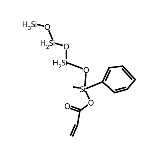 C=CC(=O)O[Si](C)(O[SiH2]O[SiH2]O[SiH3])c1ccccc1